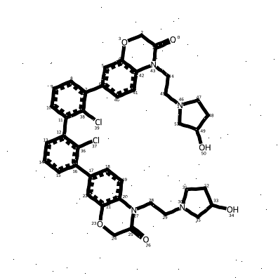 O=C1COc2cc(-c3cccc(-c4cccc(-c5ccc6c(c5)OCC(=O)N6CCN5CCC(O)C5)c4Cl)c3Cl)ccc2N1CCN1CCC(O)C1